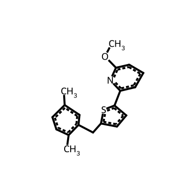 COc1cccc(-c2ccc(Cc3cc(C)ccc3C)s2)n1